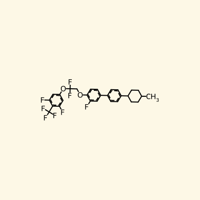 CC1CCC(c2ccc(-c3ccc(OCC(F)(F)Oc4cc(F)c(C(F)(F)F)c(F)c4)c(F)c3)cc2)CC1